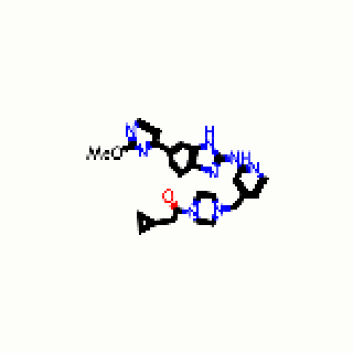 COc1nccc(-c2ccc3nc(Nc4cc(CN5CCN(C(=O)CC6CC6)CC5)ccn4)[nH]c3c2)n1